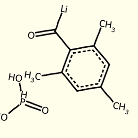 O=[PH](O)O.[Li][C](=O)c1c(C)cc(C)cc1C